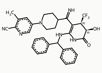 Cc1cc(N2CCC(C(=N)C3=C(NC(c4ccccc4)c4ccccc4)NC(=O)[C@H](O)[C@@H]3C(F)(F)F)CC2)cnc1C#N